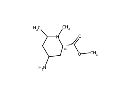 COC(=O)[C@@H]1CC(N)CC(C)N1C